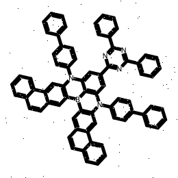 c1ccc(-c2ccc(N3c4cc5c(ccc6ccccc65)cc4B4c5cc6ccc7ccccc7c6cc5N(c5ccc(-c6ccccc6)cc5)c5cc(-c6nc(-c7ccccc7)nc(-c7ccccc7)n6)cc3c54)cc2)cc1